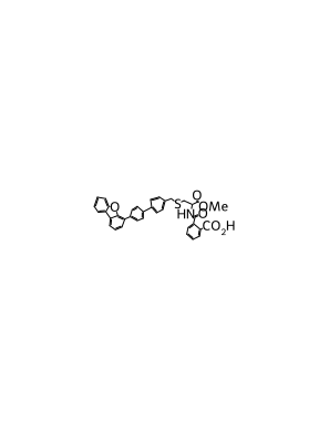 COC(=O)C(CSCc1ccc(-c2ccc(-c3cccc4c3oc3ccccc34)cc2)cc1)NC(=O)c1ccccc1C(=O)O